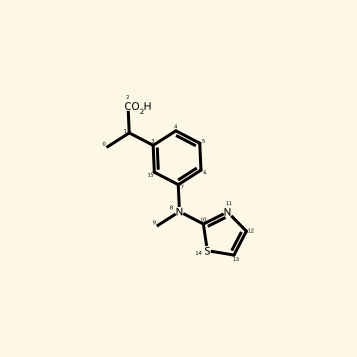 CC(C(=O)O)c1cccc(N(C)c2nccs2)c1